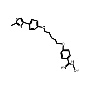 Cc1nc(-c2ccc(OCCCCCOc3ccc(C(=N)NO)cc3)cc2)cs1